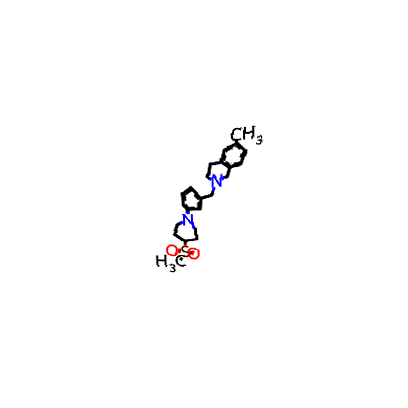 Cc1ccc2c(c1)CCN(Cc1cccc(N3CCC(S(C)(=O)=O)CC3)c1)C2